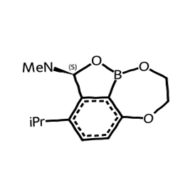 CN[C@H]1OB2OCCOc3ccc(C(C)C)c1c32